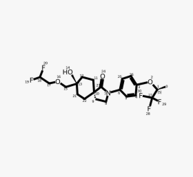 C[C@H](Oc1ccc(N2CC[C@]3(CC[C@@](O)(COCC(F)F)CC3)C2=O)cc1)C(F)(F)F